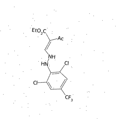 CCOC(=O)C(=CNNc1c(Cl)cc(C(F)(F)F)cc1Cl)C(C)=O